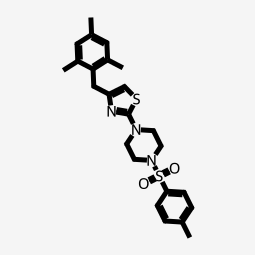 Cc1ccc(S(=O)(=O)N2CCN(c3nc(Cc4c(C)cc(C)cc4C)cs3)CC2)cc1